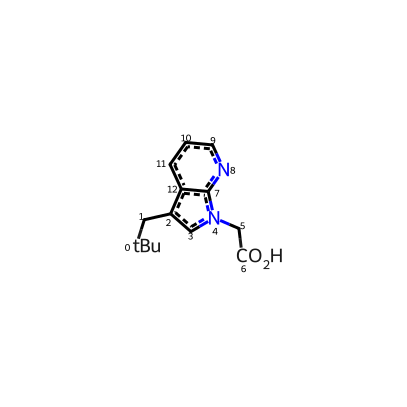 CC(C)(C)Cc1cn(CC(=O)O)c2ncccc12